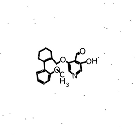 COc1ccccc1C1=C(COc2cncc(O)c2C=O)CCCC1